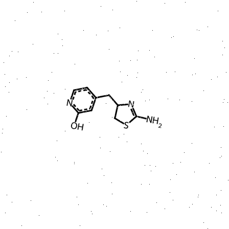 NC1=NC(Cc2ccnc(O)c2)CS1